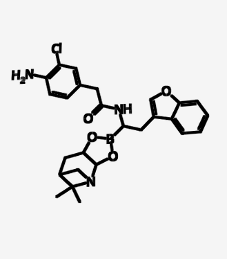 CC1(C)C2CC3OB(C(Cc4coc5ccccc45)NC(=O)Cc4ccc(N)c(Cl)c4)OC3N1C2